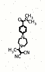 CC(=C(C#N)C#N)N1CCCN(c2ccc(C(=O)N(C)C)cc2)CC1